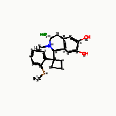 Br.CSc1ccccc1C1(C2c3cc(O)c(O)cc3CCN2C)CCC1